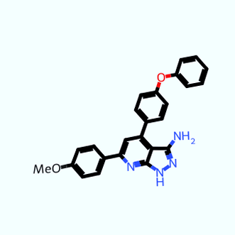 COc1ccc(-c2cc(-c3ccc(Oc4ccccc4)cc3)c3c(N)n[nH]c3n2)cc1